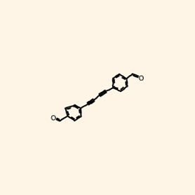 O=Cc1ccc(C#CC#Cc2ccc(C=O)cc2)cc1